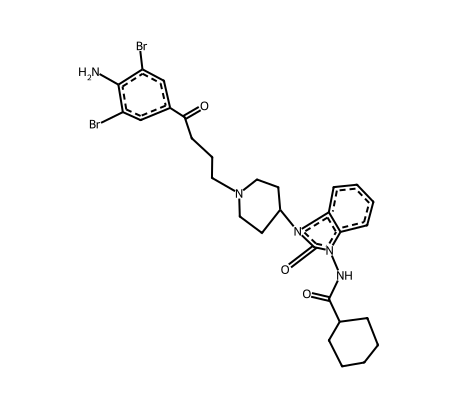 Nc1c(Br)cc(C(=O)CCCN2CCC(n3c(=O)n(NC(=O)C4CCCCC4)c4ccccc43)CC2)cc1Br